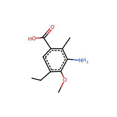 CCc1cc(C(=O)O)c(C)c(N)c1OC